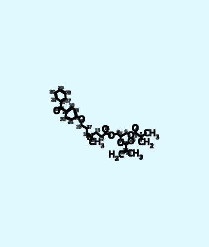 C=C(C)C(=O)OCC(COC(=O)CCN(C)CCCOc1ccc(C(=O)c2ccccc2)cc1)OC(=O)C(=C)C